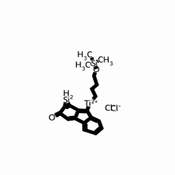 C[Si](C)(C)OCCC[CH2][Ti+2][C]1=C2C(=CC(=O)C3=C2[SiH2]3)c2ccccc21.[Cl-].[Cl-]